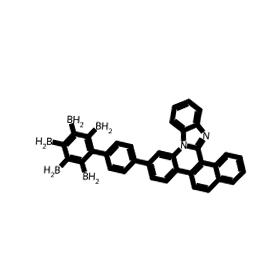 Bc1c(B)c(B)c(-c2ccc(-c3ccc4c5ccc6ccccc6c5c5nc6ccccc6n5c4c3)cc2)c(B)c1B